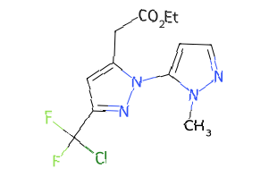 CCOC(=O)Cc1cc(C(F)(F)Cl)nn1-c1ccnn1C